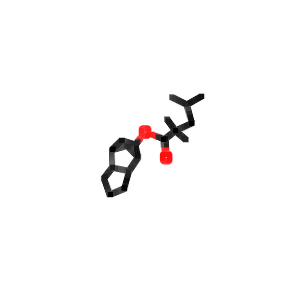 CC(C)CC(C)(C)C(=O)OC1CC2CC1C1CCCC21